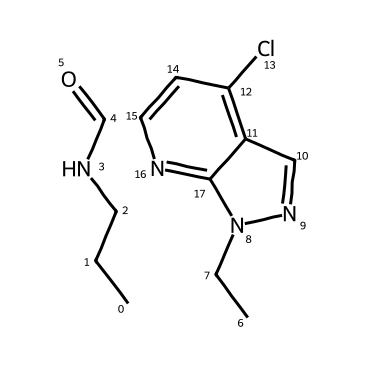 CCCNC=O.CCn1ncc2c(Cl)ccnc21